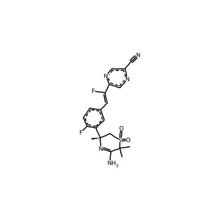 CC1(C)C(N)=N[C@](C)(c2cc(/C=C(\F)c3cnc(C#N)cn3)ccc2F)CS1(=O)=O